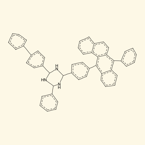 c1ccc(-c2ccc(C3NC(c4ccccc4)NC(c4ccc(-c5c6ccccc6c(-c6ccccc6)c6ccc7ccccc7c56)cc4)N3)cc2)cc1